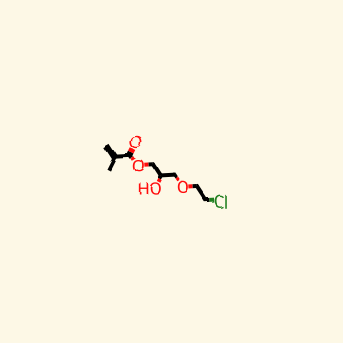 C=C(C)C(=O)OCC(O)COCCCl